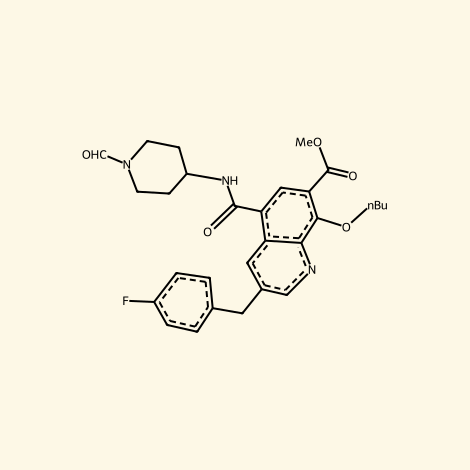 CCCCOc1c(C(=O)OC)cc(C(=O)NC2CCN(C=O)CC2)c2cc(Cc3ccc(F)cc3)cnc12